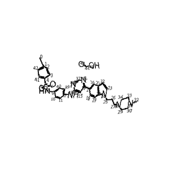 Cc1ccc(S(=O)(=O)Nc2ccc(Nc3cc(-c4ccc5c(ccn5CCCN5CCN(C)CC5)c4)ncn3)cc2)cc1.O=CO